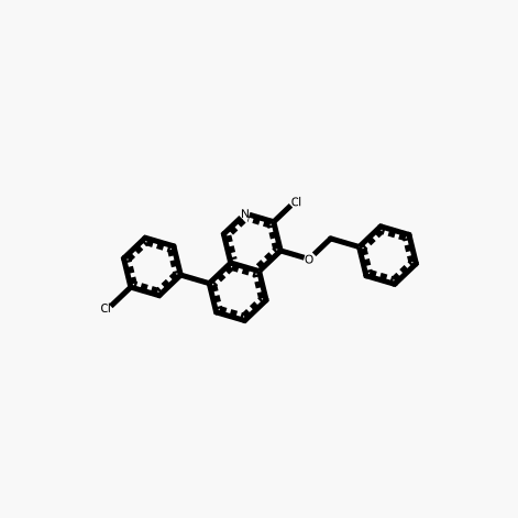 Clc1cccc(-c2cccc3c(OCc4ccccc4)c(Cl)ncc23)c1